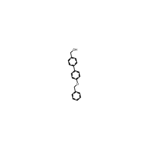 OCc1ccc(-c2ccc(OCc3ccccc3)cc2)cc1